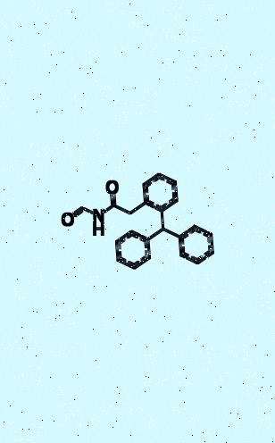 O=CNC(=O)Cc1ccccc1C(c1ccccc1)c1ccccc1